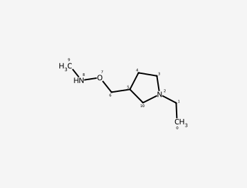 CCN1CCC(CONC)C1